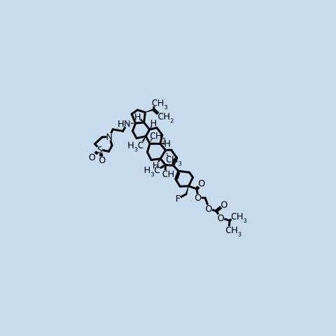 C=C(C)[C@@H]1CC[C@]2(NCCN3CCS(=O)(=O)CC3)CC[C@]3(C)[C@H](CC[C@@H]4[C@@]5(C)CC=C(C6=CC[C@@](CF)(C(=O)OCOC(=O)OC(C)C)CC6)C(C)(C)[C@@H]5CC[C@]43C)[C@@H]12